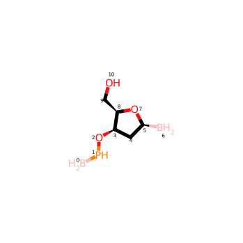 BPO[C@@H]1C[C@H](B)O[C@@H]1CO